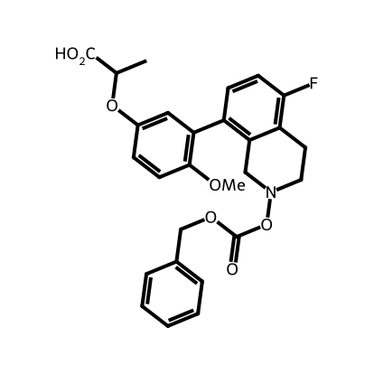 COc1ccc(OC(C)C(=O)O)cc1-c1ccc(F)c2c1CN(OC(=O)OCc1ccccc1)CC2